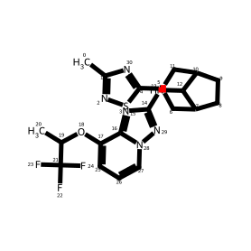 Cc1nsc(N2CC3CCC(C2)C3Nc2nc3c(OC(C)C(F)(F)F)cccn3n2)n1